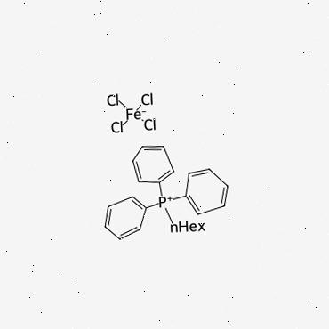 CCCCCC[P+](c1ccccc1)(c1ccccc1)c1ccccc1.[Cl][Fe-]([Cl])([Cl])[Cl]